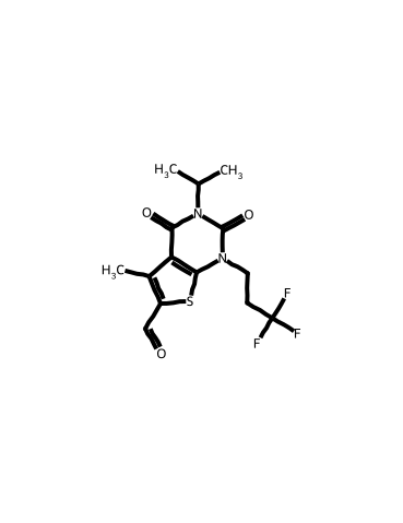 Cc1c(C=O)sc2c1c(=O)n(C(C)C)c(=O)n2CCC(F)(F)F